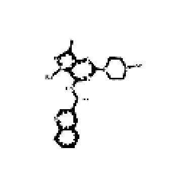 CCC(C)n1nc(C)c2nc(N3CCN(C(C)=O)CC3)nc(N[C@H](C)c3cnc4ccccc4c3)c21